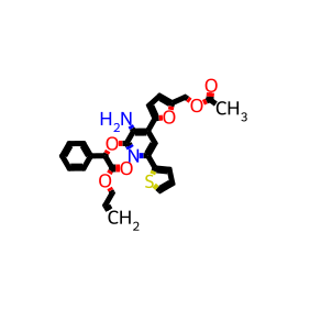 C=CCOC(=O)C(Oc1nc(-c2cccs2)cc(-c2ccc(COC(C)=O)o2)c1N)c1ccccc1